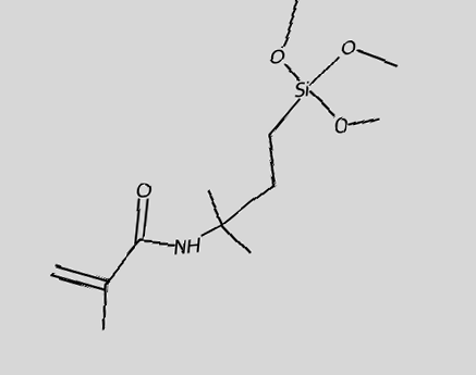 C=C(C)C(=O)NC(C)(C)CC[Si](OC)(OC)OC